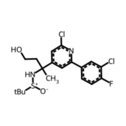 CC(CCO)(N[S+]([O-])C(C)(C)C)c1cc(Cl)nc(-c2ccc(F)c(Cl)c2)c1